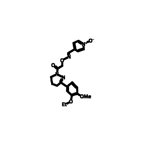 CCOc1cc(C2=NN(C(=O)CON=Cc3cc[n+]([O-])cc3)CCC2)ccc1OC